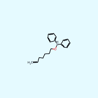 C=CCCCCCO[SiH](c1ccccc1)c1ccccc1